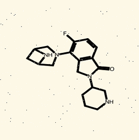 O=C1c2ccc(F)c(N3CC4CC(C3)N4)c2CN1C1CCCNC1